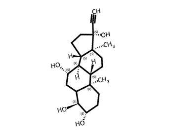 C#C[C@]1(O)CC[C@H]2[C@@H]3[C@@H](O)CC4[C@H](O)[C@@H](O)CC[C@]4(C)[C@H]3CC[C@@]21C